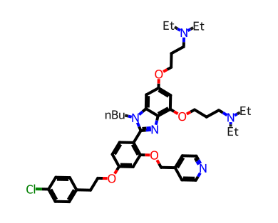 CCCCn1c(-c2ccc(OCCc3ccc(Cl)cc3)cc2OCc2ccncc2)nc2c(OCCCN(CC)CC)cc(OCCCN(CC)CC)cc21